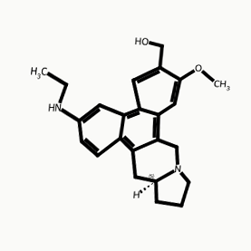 CCNc1ccc2c3c(c4cc(OC)c(CO)cc4c2c1)CN1CCC[C@H]1C3